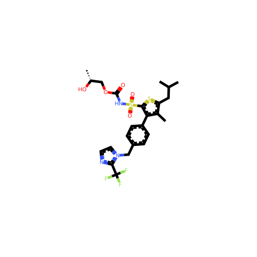 Cc1c(CC(C)C)sc(S(=O)(=O)NC(=O)OC[C@@H](C)O)c1-c1ccc(Cn2ccnc2C(F)(F)F)cc1